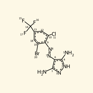 Nc1n[nH]c(N)c1N=Nc1c(Cl)cc(C(F)(F)F)cc1Br